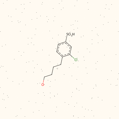 [O]CCCCc1ccc(S(=O)(=O)O)cc1Cl